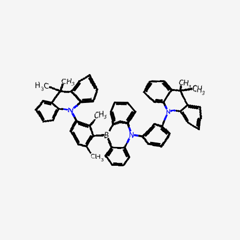 Cc1ccc(N2c3ccccc3C(C)(C)c3ccccc32)c(C)c1B1c2ccccc2N(c2cccc(N3c4ccccc4C(C)(C)c4ccccc43)c2)c2ccccc21